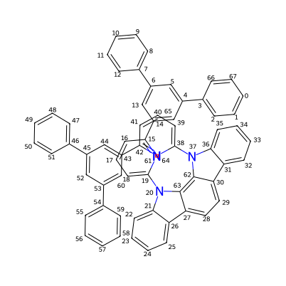 c1ccc(-c2cc(-c3ccccc3)cc(-c3cccc(-n4c5ccccc5c5ccc6c7ccccc7n(-c7cccc(-c8cc(-c9ccccc9)cc(-c9ccccc9)c8)n7)c6c54)n3)c2)cc1